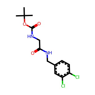 CC(C)(C)OC(=O)NCC(=O)NCc1ccc(Cl)c(Cl)c1